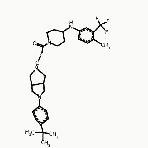 Cc1ccc(NC2CCN(C(=O)CCN3CC4CN(c5ccc(C(C)(C)C)cc5)CC4C3)CC2)cc1C(F)(F)F